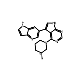 C[C@H]1CCCN(c2ncnc3[nH]cc(-c4cnc5cc[nH]c5c4)c23)C1